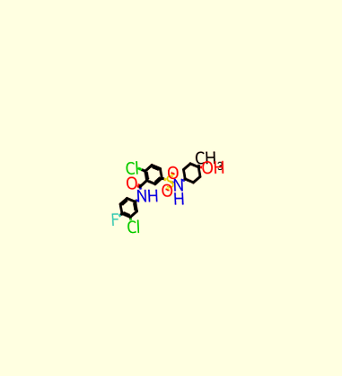 CC1(O)CCC(NS(=O)(=O)c2ccc(Cl)c(C(=O)Nc3ccc(F)c(Cl)c3)c2)CC1